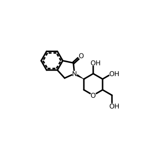 O=C1c2ccccc2CN1[C@@H]1COC(CO)C(O)C1O